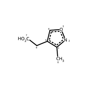 Cc1nocc1CC(=O)O